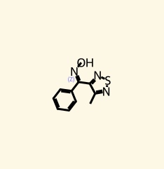 Cc1nsnc1/C(=N\O)c1ccccc1